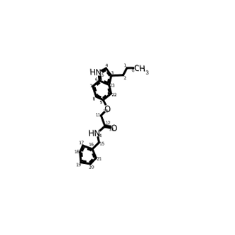 CCCc1c[nH]c2ccc(OCC(=O)NCc3ccccc3)cc12